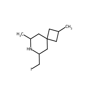 CC1CC2(C1)CC(C)NC(CI)C2